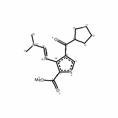 COC(=O)c1scc(C(=O)C2CCCC2)c1N=CN(C)C